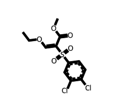 CCO/C=C(\C(=O)OC)S(=O)(=O)c1ccc(Cl)c(Cl)c1